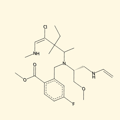 C=CNC[C@H](COC)N(Cc1cc(F)ccc1C(=O)OC)C(C)C(C)(CC)/C(Cl)=C\NC